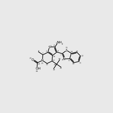 CC1c2sc(N)c(-c3nc4ccccc4s3)c2C(C(C)(C)C)CN1C(=O)O